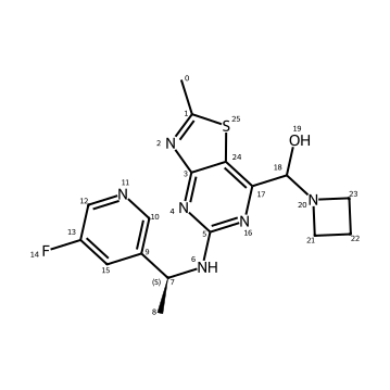 Cc1nc2nc(N[C@@H](C)c3cncc(F)c3)nc(C(O)N3CCC3)c2s1